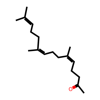 CC(=O)CCC=C(C)CCC=C(C)CCC=C(C)C